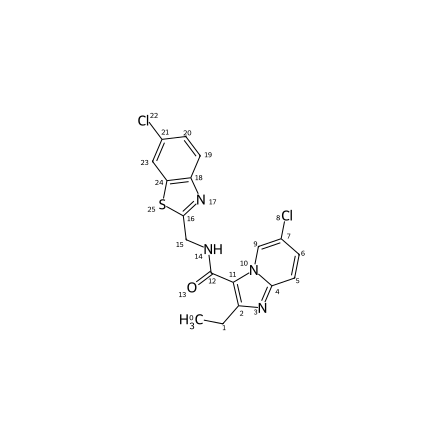 CCc1nc2ccc(Cl)cn2c1C(=O)NCc1nc2ccc(Cl)cc2s1